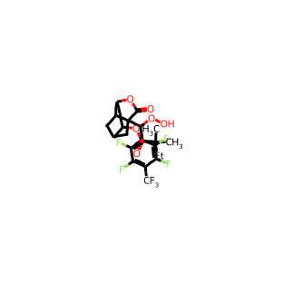 CCC(C)(C)C(=O)OC1C2CC3C1OC(=O)C3(C(OO)c1c(F)c(F)c(C(F)(F)F)c(F)c1F)C2